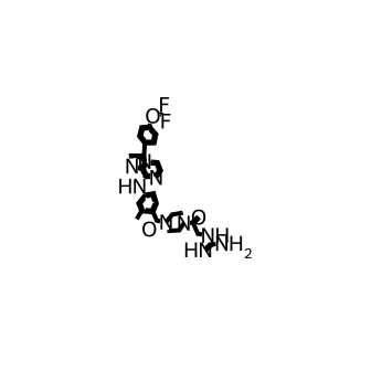 Cc1cc(Nc2nccn3c(-c4ccc(OC(F)F)cc4)cnc23)ccc1C(=O)N1CCN(C(=O)CNC(=N)N)CC1